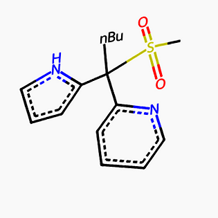 CCCCC(c1ccccn1)(c1ccc[nH]1)S(C)(=O)=O